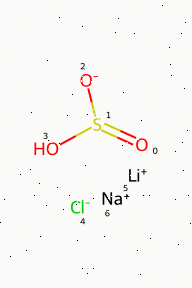 O=S([O-])O.[Cl-].[Li+].[Na+]